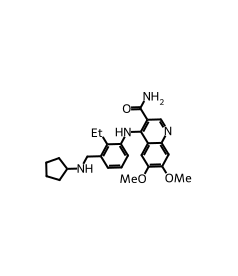 CCc1c(CNC2CCCC2)cccc1Nc1c(C(N)=O)cnc2cc(OC)c(OC)cc12